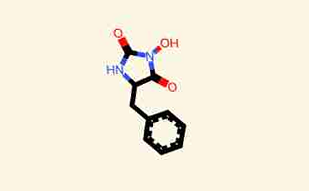 O=C1NC(Cc2ccccc2)C(=O)N1O